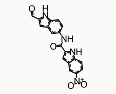 O=Cc1cc2cc(NC(=O)c3cc4cc([N+](=O)[O-])ccc4[nH]3)ccc2[nH]1